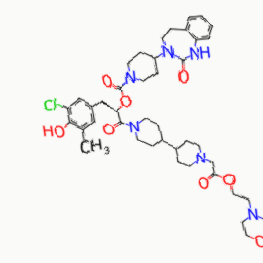 Cc1cc(C[C@@H](OC(=O)N2CCC(N3CCc4ccccc4NC3=O)CC2)C(=O)N2CCC(C3CCN(CC(=O)OCCN4CCOCC4)CC3)CC2)cc(Cl)c1O